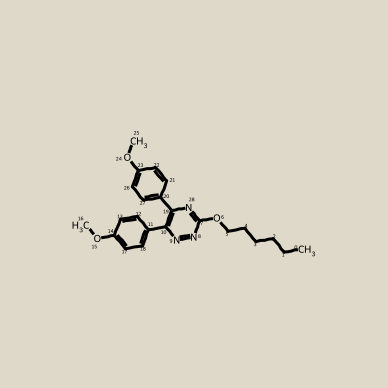 CCCCCCOc1nnc(-c2ccc(OC)cc2)c(-c2ccc(OC)cc2)n1